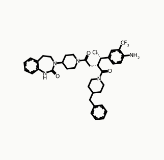 Nc1ccc([C@@H](Cl)[C@@H](CC(=O)N2CCC(N3CCc4ccccc4NC3=O)CC2)C(=O)N2CCC(Cc3ccccc3)CC2)cc1C(F)(F)F